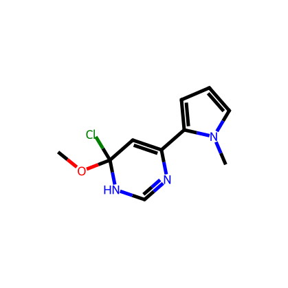 COC1(Cl)C=C(c2cccn2C)N=CN1